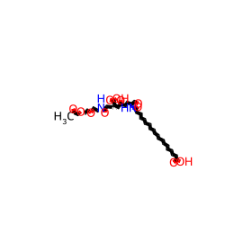 CC(=O)COCCOCCNC(=O)CC[C@H](CC(=O)CCC(C=O)NC(=O)CCCCCCCCCCCCCCCCCCC(=O)O)C(=O)O